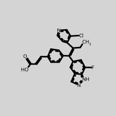 CC/C(=C(/c1ccc(/C=C/C(=O)O)cc1)c1cc(F)c2[nH]ncc2c1)c1ccncc1Cl